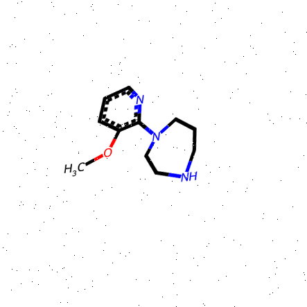 COc1cccnc1N1CCCNCC1